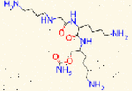 NCCCCNCC(=O)NC(CCCCN)C(=O)NC(CCCCN)COC(N)=O